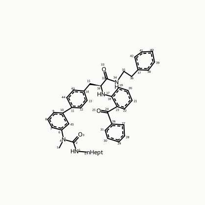 CCCCCCCNC(=O)N(C)c1cccc(-c2ccc(C[C@H](Nc3ccccc3C(=O)c3ccccc3)C(=O)NCCc3ccccc3)cc2)c1